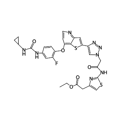 CCOC(=O)Cc1csc(NC(=O)Cn2cc(-c3cc4nccc(Oc5ccc(NC(=O)NC6CC6)cc5F)c4s3)nn2)n1